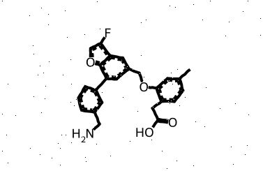 Cc1ccc(CC(=O)O)c(OCc2cc(-c3cccc(CN)c3)c3occ(F)c3c2)c1